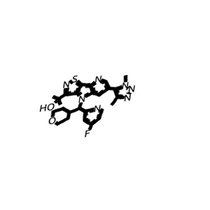 Cc1nnn(C)c1-c1cnc2c3snc(C(C)(C)O)c3n(C(c3cc(F)ccn3)C3CCOCC3)c2c1